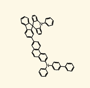 c1ccc(-c2ccc(N(c3ccccc3)c3ccc4c(ccc5cc(-c6ccc7c(c6)C6(c8ccccc8-7)c7ccccc7N(c7ccccc7)c7ccccc76)ccc54)c3)cc2)cc1